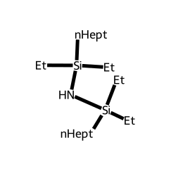 CCCCCCC[Si](CC)(CC)N[Si](CC)(CC)CCCCCCC